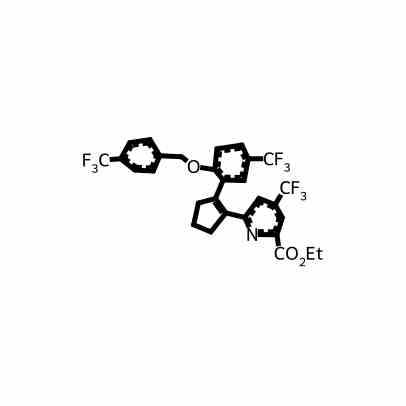 CCOC(=O)c1cc(C(F)(F)F)cc(C2=C(c3cc(C(F)(F)F)ccc3OCc3ccc(C(F)(F)F)cc3)CCC2)n1